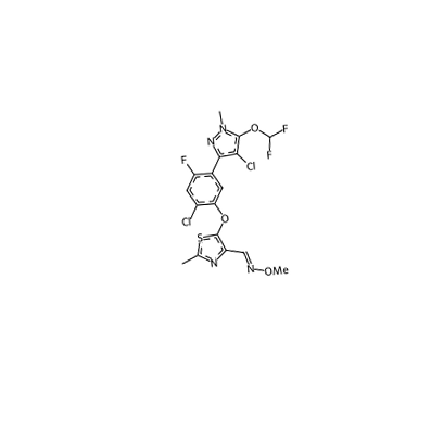 CON=Cc1nc(C)sc1Oc1cc(-c2nn(C)c(OC(F)F)c2Cl)c(F)cc1Cl